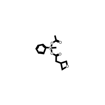 CC(=O)O[Si](C)(OC(=O)CC1COC1)c1ccccc1